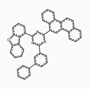 c1ccc(-c2cccc(-c3nc(-c4cc5c6ccccc6ccc5c5ccccc45)nc(-c4cccc5oc6ccccc6c45)n3)c2)cc1